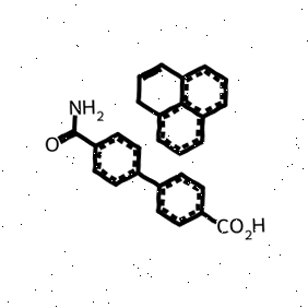 C1=Cc2cccc3cccc(c23)C1.NC(=O)c1ccc(-c2ccc(C(=O)O)cc2)cc1